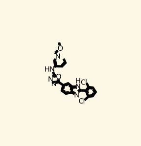 C\C=C/C(=C\N=C\OC)Nc1nnc(-c2ccc3nc(-c4c(Cl)cccc4Cl)[nH]c3c2)o1